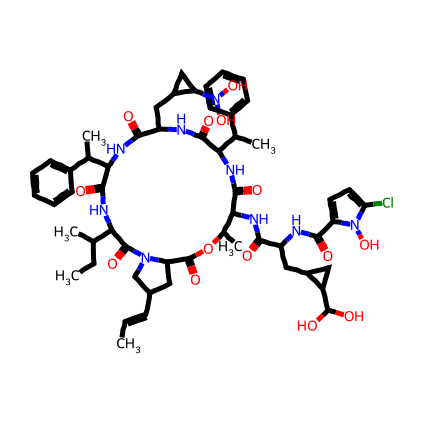 C/C=C/C1CC2C(=O)OC(C)C(NC(=O)C(CC3CC3C(O)O)NC(=O)c3ccc(Cl)n3O)C(=O)NC(C(C)c3ccccc3)C(=O)NC(CC3CC3N(O)O)C(=O)NC(C(C)c3ccccc3)C(=O)NC(C(C)CC)C(=O)N2C1